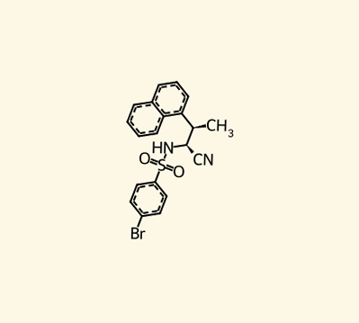 C[C@H](c1cccc2ccccc12)[C@@H](C#N)NS(=O)(=O)c1ccc(Br)cc1